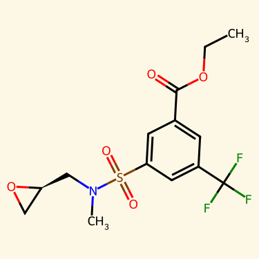 CCOC(=O)c1cc(C(F)(F)F)cc(S(=O)(=O)N(C)C[C@H]2CO2)c1